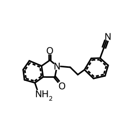 N#Cc1cccc(CCN2C(=O)c3cccc(N)c3C2=O)c1